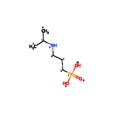 CC(C)NCCCP(=O)(O)O